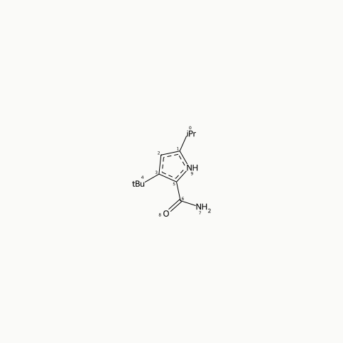 CC(C)c1cc(C(C)(C)C)c(C(N)=O)[nH]1